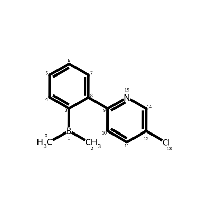 CB(C)c1ccccc1-c1ccc(Cl)cn1